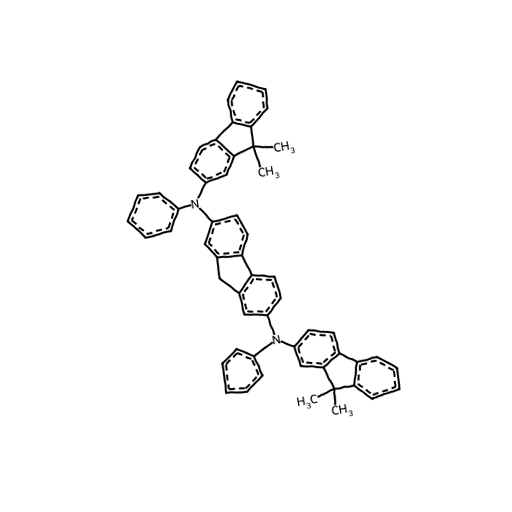 CC1(C)c2ccccc2-c2ccc(N(c3ccccc3)c3ccc4c(c3)Cc3cc(N(c5ccccc5)c5ccc6c(c5)C(C)(C)c5ccccc5-6)ccc3-4)cc21